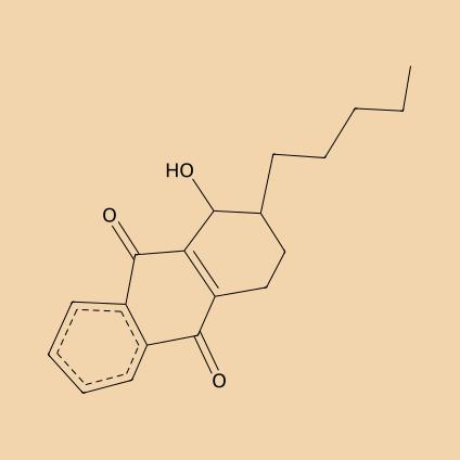 CCCCCC1CCC2=C(C(=O)c3ccccc3C2=O)C1O